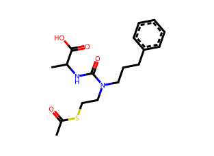 CC(=O)SCCN(CCCc1ccccc1)C(=O)NC(C)C(=O)O